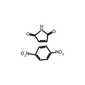 O=C1C=CC(=O)N1.O=[N+]([O-])c1ccc([N+](=O)[O-])cc1